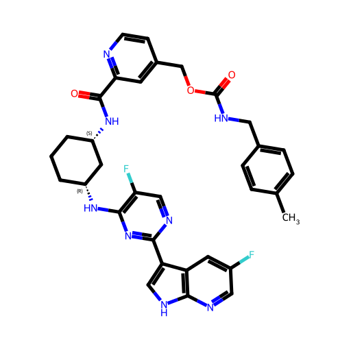 Cc1ccc(CNC(=O)OCc2ccnc(C(=O)N[C@H]3CCC[C@@H](Nc4nc(-c5c[nH]c6ncc(F)cc56)ncc4F)C3)c2)cc1